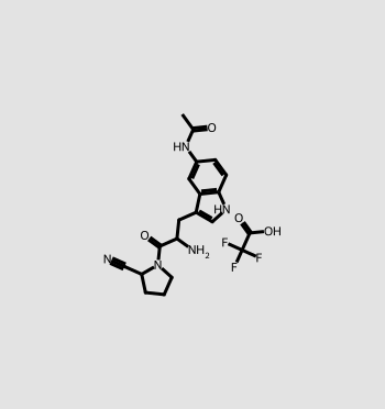 CC(=O)Nc1ccc2[nH]cc(CC(N)C(=O)N3CCCC3C#N)c2c1.O=C(O)C(F)(F)F